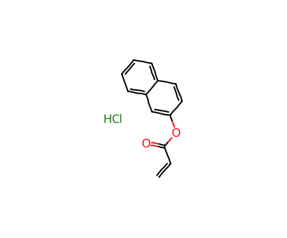 C=CC(=O)Oc1ccc2ccccc2c1.Cl